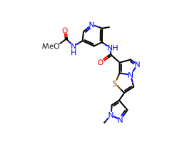 COC(=O)Nc1cnc(C)c(NC(=O)c2cnn3cc(-c4cnn(C)c4)sc23)c1